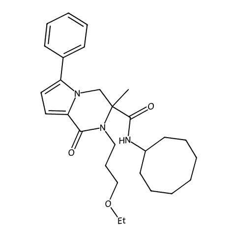 CCOCCCN1C(=O)c2ccc(-c3ccccc3)n2CC1(C)C(=O)NC1CCCCCCC1